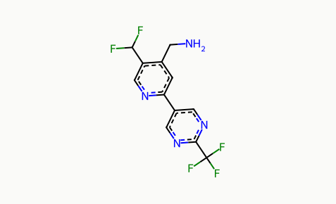 NCc1cc(-c2cnc(C(F)(F)F)nc2)ncc1C(F)F